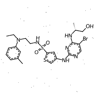 CCN(CCNS(=O)(=O)c1cc(Nc2ncc(Br)c(N[C@H](C)CO)n2)cs1)c1cccc(C)c1